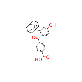 O=C(O)c1ccc(C(=O)c2ccc(O)cc2C23CC4CC(CC(C4)C2)C3)cc1